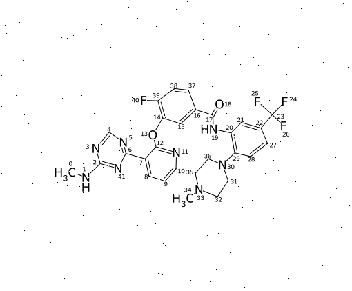 CNc1ncnc(-c2cccnc2Oc2cc(C(=O)Nc3cc(C(F)(F)F)ccc3N3CCN(C)CC3)ccc2F)n1